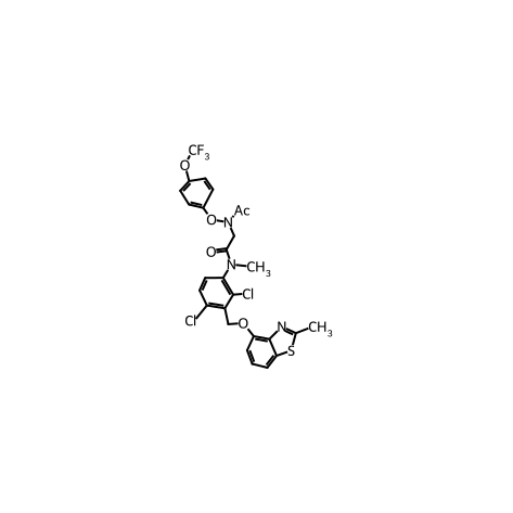 CC(=O)N(CC(=O)N(C)c1ccc(Cl)c(COc2cccc3sc(C)nc23)c1Cl)Oc1ccc(OC(F)(F)F)cc1